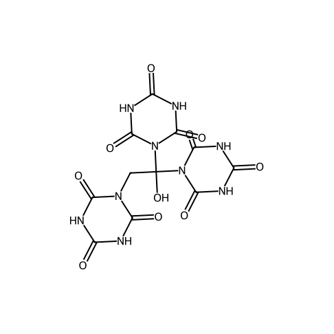 O=c1[nH]c(=O)n(CC(O)(n2c(=O)[nH]c(=O)[nH]c2=O)n2c(=O)[nH]c(=O)[nH]c2=O)c(=O)[nH]1